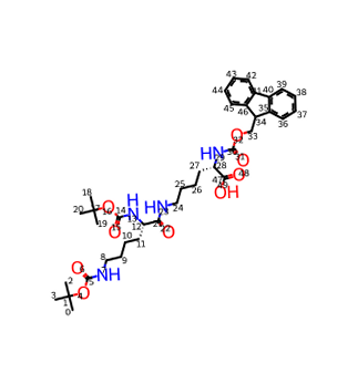 CC(C)(C)OC(=O)NCCCC[C@H](NC(=O)OC(C)(C)C)C(=O)NCCCC[C@H](NC(=O)OCC1c2ccccc2-c2ccccc21)C(=O)O